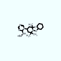 CCCCNC1N=CN=CN1C1CC(C)(C)N(OC2CCCCC2)C(C)(C)C1